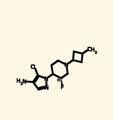 CC1CC(N2CCC(n3ncc(N)c3Cl)[C@@H](F)C2)C1